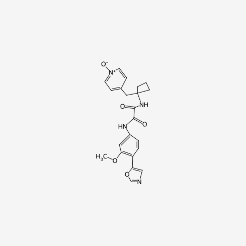 COc1cc(NC(=O)C(=O)NC2(Cc3cc[n+]([O-])cc3)CCC2)ccc1-c1cnco1